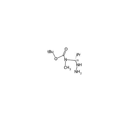 CC(C)[C@H](NN)N(C)C(=O)OC(C)(C)C